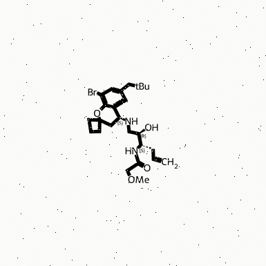 C=CC[C@H](NC(=O)COC)[C@H](O)CN[C@H]1CC2(CCC2)Oc2c(Br)cc(CC(C)(C)C)cc21